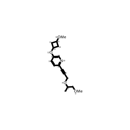 COCC(C)OCC#Cc1ccc(OC2CC(OC)C2)cn1